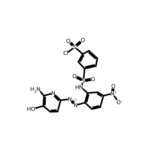 Nc1nc(/N=N/c2ccc([N+](=O)[O-])cc2NS(=O)(=O)c2cccc(S(=O)(=O)Cl)c2)ccc1O